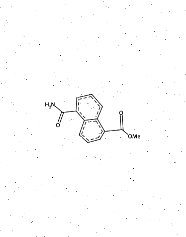 COC(=O)c1cccc2c(C(N)=O)cccc12